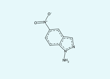 Nn1ncc2cc([N+](=O)[O-])ccc21